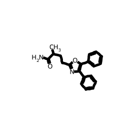 CC(CCc1nc(-c2ccccc2)c(-c2ccccc2)o1)C(N)=O